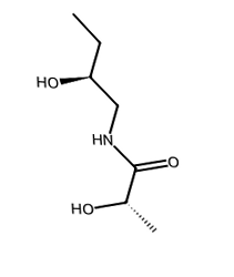 CC[C@H](O)CNC(=O)[C@H](C)O